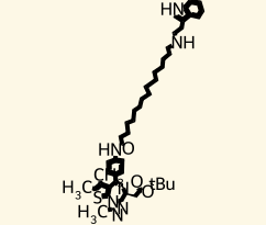 Cc1sc2c(c1C)C(c1ccc(NC(=O)CCCCCCCCCCCCCCCNCCc3c[nH]c4ccccc34)cc1)=N[C@@H](CC(=O)OC(C)(C)C)c1nnc(C)n1-2